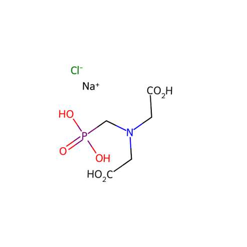 O=C(O)CN(CC(=O)O)CP(=O)(O)O.[Cl-].[Na+]